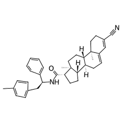 Cc1ccc(C[C@H](NC(=O)[C@H]2CC[C@H]3[C@@H]4CC=C5C=C(C#N)CC[C@]5(C)[C@H]4CC[C@]23C)c2ccccc2)cc1